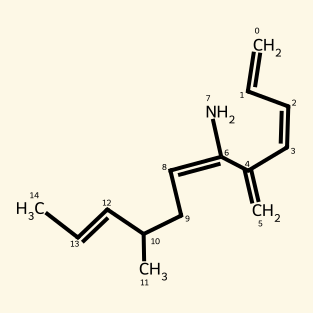 C=C/C=C\C(=C)/C(N)=C\CC(C)/C=C/C